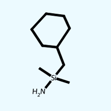 C[Si](C)(N)CC1CCCCC1